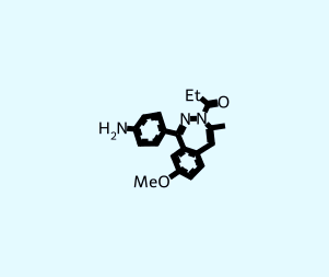 CCC(=O)N1N=C(c2ccc(N)cc2)c2cc(OC)ccc2C=C1C